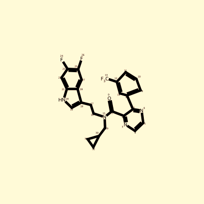 O=C(c1nccnc1-c1cccc(C(F)(F)F)c1)N(CCc1c[nH]c2cc(F)c(F)cc12)CC1CC1